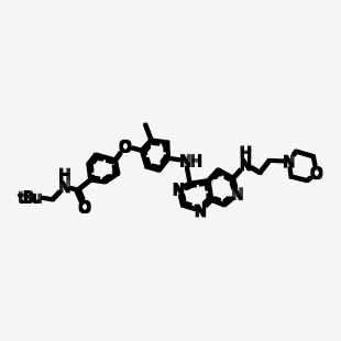 Cc1cc(Nc2ncnc3cnc(NCCN4CCOCC4)cc23)ccc1Oc1ccc(C(=O)NCC(C)(C)C)cc1